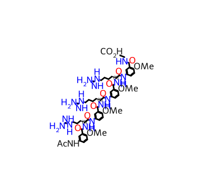 COc1ccc(NC(=O)[C@H](CCCCNC(=N)N)NC(=O)c2cc(NC(=O)[C@H](CCCCNC(=N)N)NC(=O)c3cc(NC(=O)[C@H](CCCNC(=N)N)NC(=O)c4cc(NC(C)=O)ccc4OC)ccc3OC)ccc2OC)cc1C(=O)NCCC(=O)O